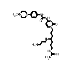 CN1CCN(c2ccc(NC(=O)Nc3ccn(CCCC(CCCNC(=N)N)NCCCN)c(=O)n3)cc2)CC1